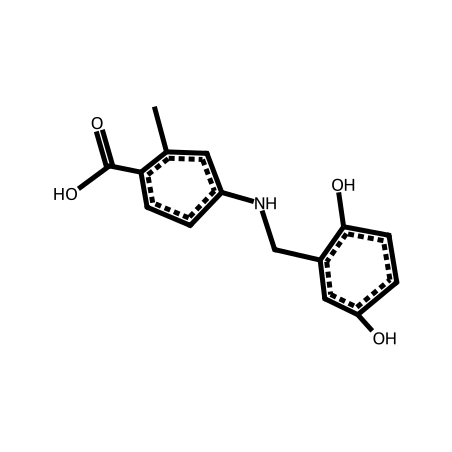 Cc1cc(NCc2cc(O)ccc2O)ccc1C(=O)O